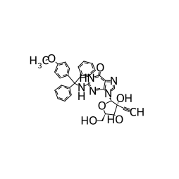 C#C[C@@]1(O)[C@H](O)[C@@H](CO)O[C@H]1n1cnc2c(=O)[nH]c(NC(c3ccccc3)(c3ccccc3)c3ccc(OC)cc3)nc21